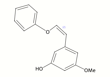 COc1cc(O)cc(/C=C\Oc2ccccc2)c1